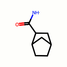 [NH]C(=O)C1CC2CCC1C2